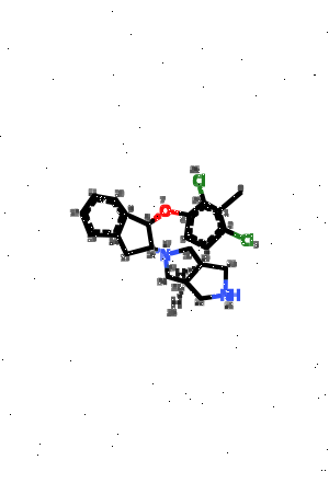 Cc1c(Cl)ccc(O[C@@H]2c3ccccc3C[C@H]2N2C[C@H]3CNC[C@H]3C2)c1Cl